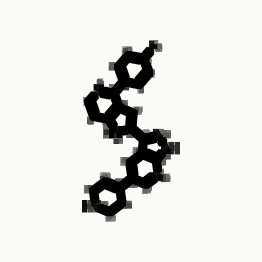 Fc1ccc(-c2nccc3[nH]c(-c4n[nH]c5ncc(C6=CCNCC6)cc45)cc23)cc1